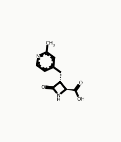 Cc1cc(C[C@H]2C(=O)N[C@@H]2C(=O)O)ccn1